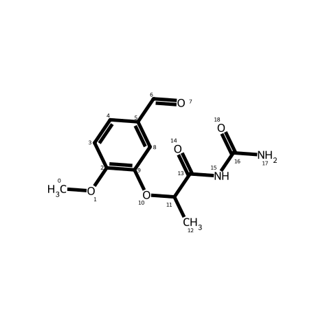 COc1ccc(C=O)cc1OC(C)C(=O)NC(N)=O